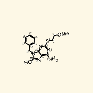 COCCSc1nc(N)c2nc(O)n(Cc3ccccc3)c2n1